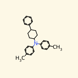 Cc1ccc(N(c2ccc(C)cc2)C2CCC(c3ccccc3)CC2)cc1